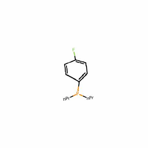 CCCP(CCC)c1ccc(F)cc1